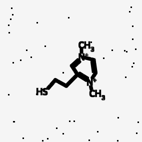 C[n+]1cc[n+](C)c(CCS)c1